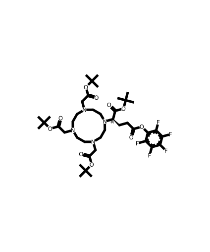 CC(C)(C)OC(=O)CN1CCN(CC(=O)OC(C)(C)C)CCN([C@H](CCC(=O)Oc2c(F)c(F)c(F)c(F)c2F)C(=O)OC(C)(C)C)CCN(CC(=O)OC(C)(C)C)CC1